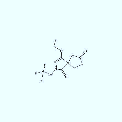 CCOC(=O)C1(C(=O)NCC(F)(F)F)CCC(=O)C1